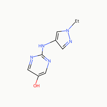 CCn1cc(Nc2ncc(O)cn2)cn1